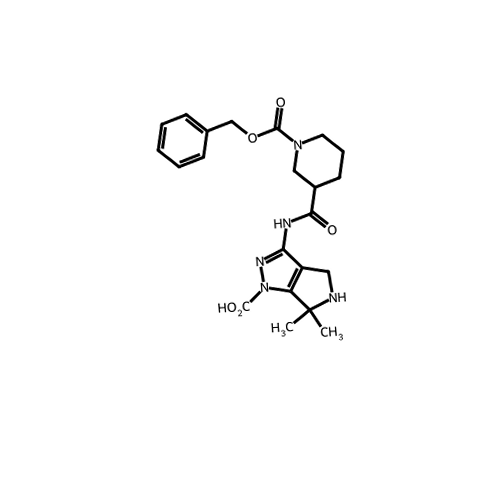 CC1(C)NCc2c(NC(=O)C3CCCN(C(=O)OCc4ccccc4)C3)nn(C(=O)O)c21